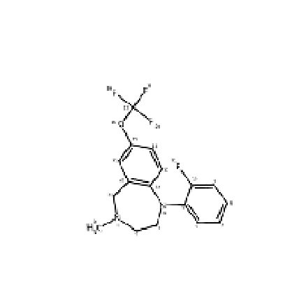 CN1CCN(c2ccccc2F)c2ccc(OC(F)(F)F)cc2C1